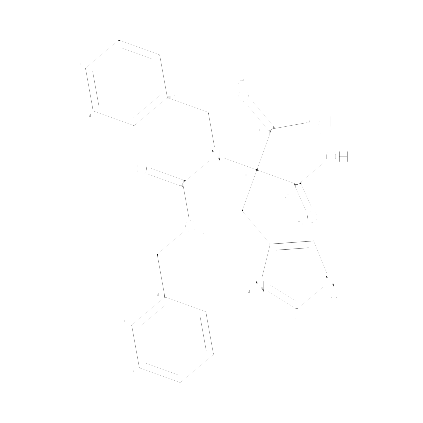 O=C(OCc1ccccc1)N(Cc1ccccc1)C(Cc1c[nH]cn1)(C(=O)O)C(=O)O